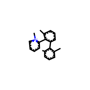 Cc1cccc(C)c1-c1cccc(C)c1-c1cccc[n+]1C